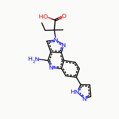 CCC(C)(C(=O)O)n1cc2c(N)nc3cc(-c4ccn[nH]4)ccc3c2n1